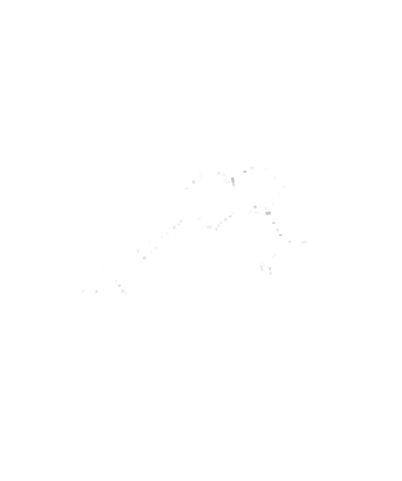 CC[Si](C#Cc1ccc2nnc(C(NC(=O)O)C(C)(C)C)n2n1)(CC)CC